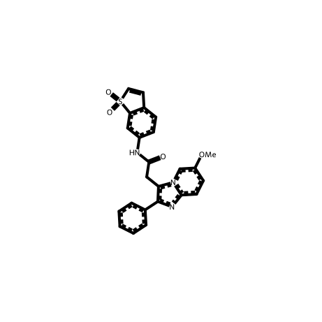 COc1ccc2nc(-c3ccccc3)c(CC(=O)Nc3ccc4c(c3)S(=O)(=O)C=C4)n2c1